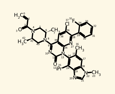 C=CC(=O)N1C[C@H](C)N(c2nc(=O)n(-c3c(C)cc4c(ncn4C)c3C(C)C)c3nc(-c4ccccc4F)c(Cl)cc23)C[C@H]1C